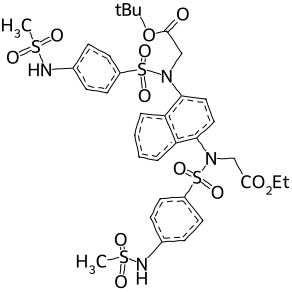 CCOC(=O)CN(c1ccc(N(CC(=O)OC(C)(C)C)S(=O)(=O)c2ccc(NS(C)(=O)=O)cc2)c2ccccc12)S(=O)(=O)c1ccc(NS(C)(=O)=O)cc1